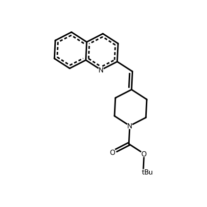 CC(C)(C)OC(=O)N1CCC(=Cc2ccc3ccccc3n2)CC1